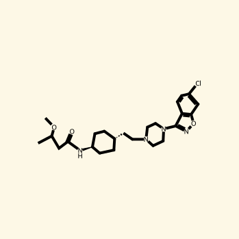 COC(C)CC(=O)N[C@H]1CC[C@H](CCN2CCN(c3noc4cc(Cl)ccc34)CC2)CC1